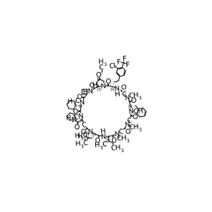 CCO[C@@H]1C[C@H]2C(=O)NC3(CCC3)C(=O)N(C)[C@@H](C3CCCCC3)C(=O)N(C)[C@H](C(=O)N3CCCC3)CC(=O)N(C)[C@@H](CC(C)C)C(=O)N[C@@H]([C@@H](C)CC)C(=O)N(C)CC(=O)N(C)CC(=O)N(C)[C@@H](CC3CCCCC3)C(=O)N(C)CC(=O)N[C@@H](CCc3ccc(C(F)(F)F)c(Cl)c3)C(=O)N2C1